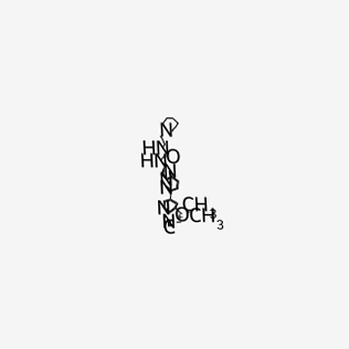 [C-]#[N+]c1ncc(-c2ccc3nc(NC(=O)NCCN4CCCCC4)cn3n2)cc1OC(C)C